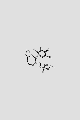 CCC1CCO[C@@H](COP(=O)(O)OC)[C@H](n2cc(C)c(=O)[nH]c2=O)O1